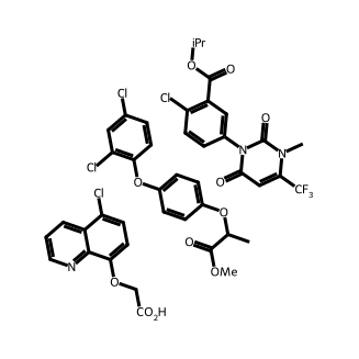 CC(C)OC(=O)c1cc(-n2c(=O)cc(C(F)(F)F)n(C)c2=O)ccc1Cl.COC(=O)C(C)Oc1ccc(Oc2ccc(Cl)cc2Cl)cc1.O=C(O)COc1ccc(Cl)c2cccnc12